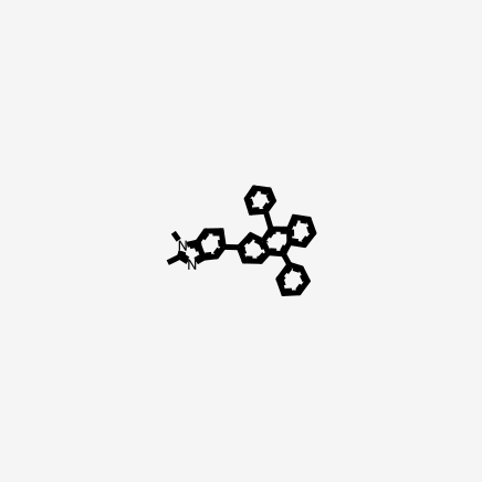 Cc1nc2cc(-c3ccc4c(-c5ccccc5)c5ccccc5c(-c5ccccc5)c4c3)ccc2n1C